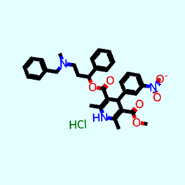 COC(=O)C1=C(C)NC(C)=C(C(=O)OC(CCN(C)Cc2ccccc2)c2ccccc2)C1c1cccc([N+](=O)[O-])c1.Cl